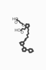 O=C(O)CCCOc1cccc(CCCCCC#Cc2cccc(-c3cccc(-c4ccccc4)c3)c2)c1CCC(=O)O